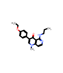 CCCNc1nccc2c1c(=O)c(-c1ccc(OCC)cc1)cn2C